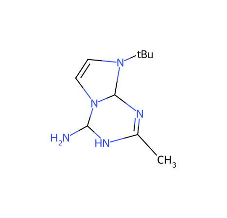 CC1=NC2N(C=CN2C(C)(C)C)C(N)N1